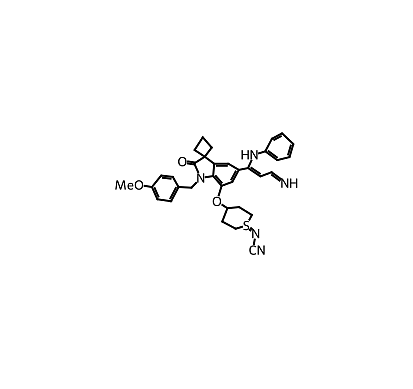 COc1ccc(CN2C(=O)C3(CCC3)c3cc(/C(=C/C=N)Nc4ccccc4)cc(OC4CCS(=NC#N)CC4)c32)cc1